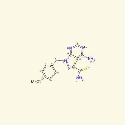 COc1ccc(Cn2cc(C(N)=S)c3c(N)ncnc32)cc1